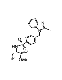 COC(=O)[C@H](CC(C)C)NS(=O)(=O)c1ccc(Cn2c(C)nc3ccccc32)cc1